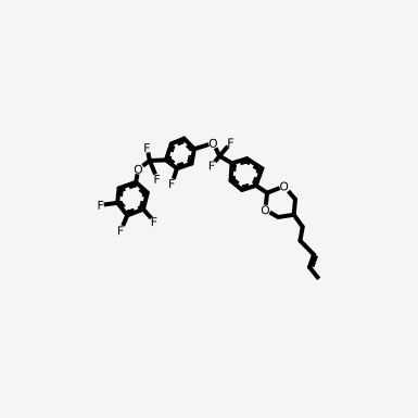 C/C=C/CCC1COC(c2ccc(C(F)(F)Oc3ccc(C(F)(F)Oc4cc(F)c(F)c(F)c4)c(F)c3)cc2)OC1